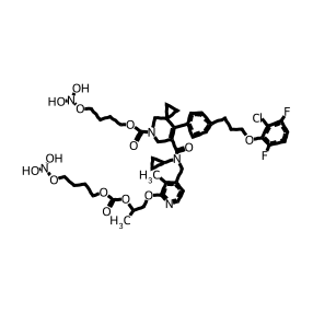 Cc1c(CN(C(=O)C2=C(c3ccc(CCCOc4c(F)ccc(F)c4Cl)cc3)C3(CC3)CN(C(=O)OCCCCON(O)O)C2)C2CC2)ccnc1OCC(C)OC(=O)OCCCCON(O)O